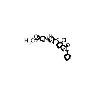 C[C@H]1CC2(CCN(c3cnc(Sc4ccc5c(c4Cl)C(=O)N(Cc4ccccc4)C5)cn3)CC2)CO1